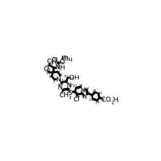 Cc1nc(N2CCC3(CC2)CO[C@@H](C)[C@H]3NC(=O)OC(C)(C)C)c(CO)nc1Sc1ccn2cc(-c3ccc(C(=O)O)cc3)nc2c1Cl